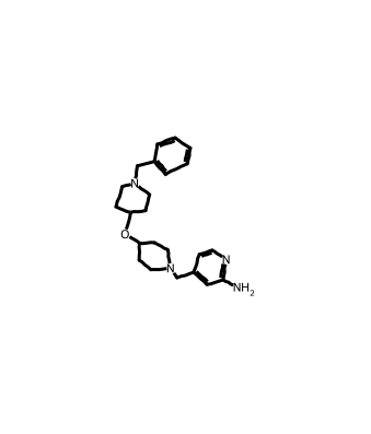 Nc1cc(CN2CCC(OC3CCN(Cc4ccccc4)CC3)CC2)ccn1